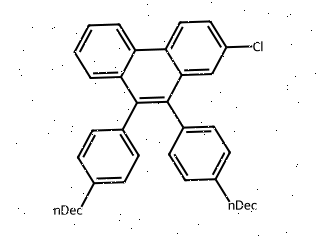 CCCCCCCCCCc1ccc(-c2c(-c3ccc(CCCCCCCCCC)cc3)c3cc(Cl)ccc3c3ccccc23)cc1